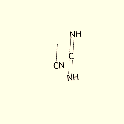 CC#N.N=C=N